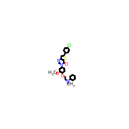 COc1cc(-n2cnc3cc(-c4ccc(Cl)cc4)sc3c2=O)ccc1OCCN(C)c1ccccc1